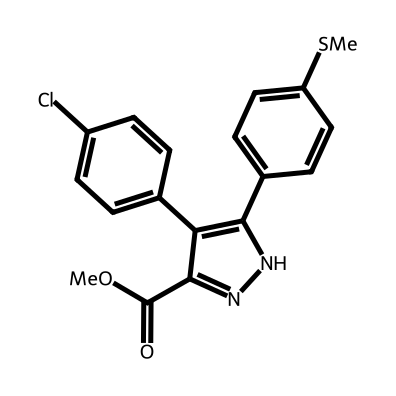 COC(=O)c1n[nH]c(-c2ccc(SC)cc2)c1-c1ccc(Cl)cc1